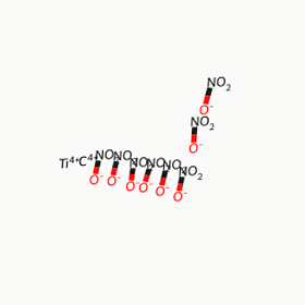 O=[N+]([O-])[O-].O=[N+]([O-])[O-].O=[N+]([O-])[O-].O=[N+]([O-])[O-].O=[N+]([O-])[O-].O=[N+]([O-])[O-].O=[N+]([O-])[O-].O=[N+]([O-])[O-].[C+4].[Ti+4]